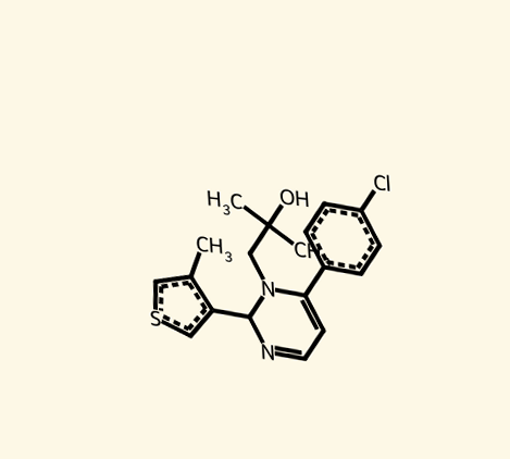 Cc1cscc1C1N=CC=C(c2ccc(Cl)cc2)N1CC(C)(C)O